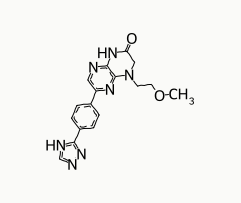 COCCN1CC(=O)Nc2ncc(-c3ccc(-c4nnc[nH]4)cc3)nc21